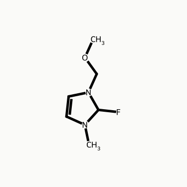 COCN1C=CN(C)C1F